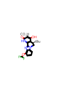 CC(C)(C)[C@H]1Cn2c(nc3c(OC(F)F)cccc32)-c2[nH]c(=O)c(C(=O)O)c(O)c21